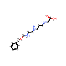 O=C(O)CNCCCNCCNCOCc1ccccc1